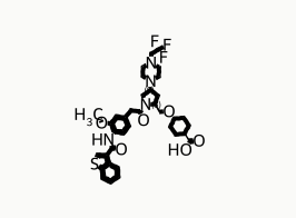 COc1cc(CC(=O)N2C[C@@H](N3CCN(CC(F)(F)F)CC3)C[C@H]2CO[C@H]2CC[C@H](C(=O)O)CC2)ccc1NC(=O)c1csc2ccccc12